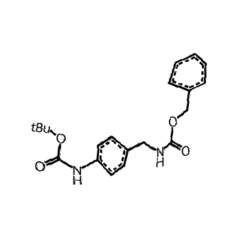 CC(C)(C)OC(=O)Nc1ccc(CNC(=O)OCc2ccccc2)cc1